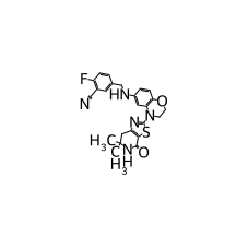 CC1(C)Cc2nc(N3CCOc4ccc(NCc5ccc(F)c(C#N)c5)cc43)sc2C(=O)N1